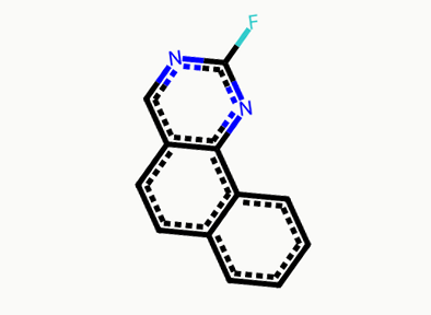 Fc1ncc2ccc3ccccc3c2n1